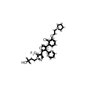 CC(C)(O)CCn1ncc(-c2onc(-c3cccc(OCCN4CCCC4)c3Cl)c2-c2ncccn2)c1C(F)(F)F